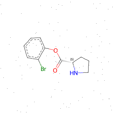 O=C(Oc1ccccc1Br)[C@@H]1CCCN1